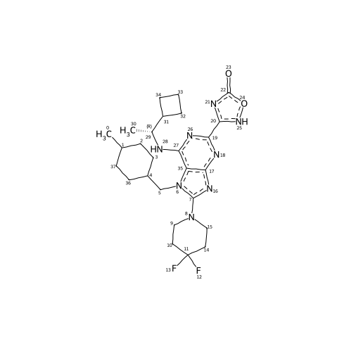 CC1CCC(Cn2c(N3CCC(F)(F)CC3)nc3nc(-c4nc(=O)o[nH]4)nc(N[C@H](C)C4CCC4)c32)CC1